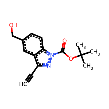 C#Cc1nn(C(=O)OC(C)(C)C)c2ccc(CO)cc12